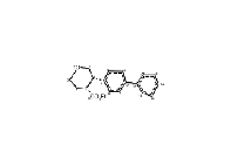 CCOC(=O)[C@@H]1CCOC[C@@H]1c1ccc(-c2ccccc2)cc1